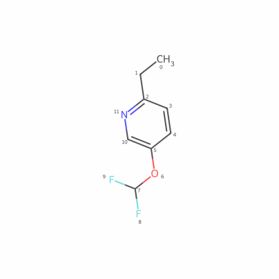 CCc1ccc(OC(F)F)cn1